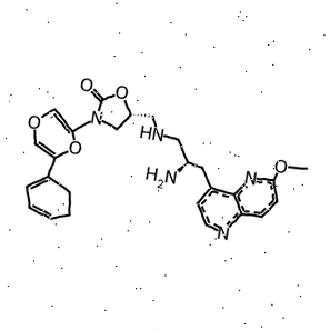 COc1ccc2nccc(C[C@@H](N)CNC[C@@H]3CN(C4=COC=C(C5=CC=CCC5)O4)C(=O)O3)c2n1